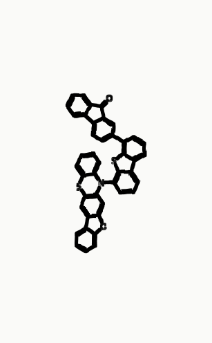 O=C1c2ccccc2-c2ccc(-c3cccc4c3sc3c(N5c6ccccc6Sc6cc7c(cc65)oc5ccccc57)cccc34)cc21